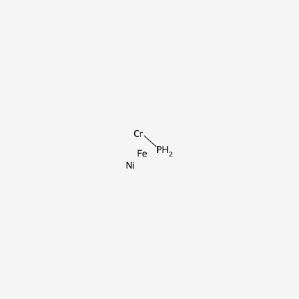 [Fe].[Ni].[PH2][Cr]